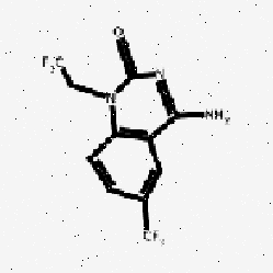 Nc1nc(=O)n(CC(F)(F)F)c2ccc(C(F)(F)F)cc12